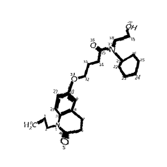 C=CCN1C(=O)CCc2cc(OCCCC(=O)N(CCO)C3CCCCC3)ccc21